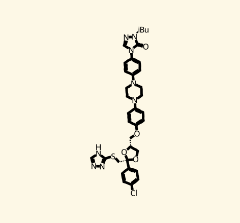 CC[C@@H](C)n1ncn(-c2ccc(N3CCN(c4ccc(OC[C@@H]5CO[C@@](CSc6nnc[nH]6)(c6ccc(Cl)cc6)O5)cc4)CC3)cc2)c1=O